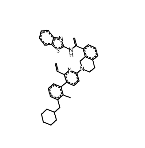 C=Cc1nc(N2CCc3cccc(C(=C)Nc4nc5ccccc5s4)c3C2)ccc1-c1cccc(CC2CCCCC2)c1C